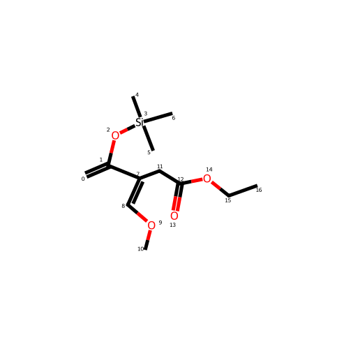 C=C(O[Si](C)(C)C)C(=COC)CC(=O)OCC